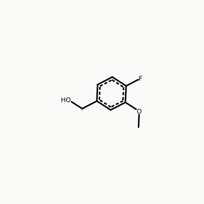 COc1cc([CH]O)ccc1F